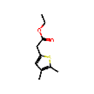 CCOC(=O)Cc1cc(C)c(C)s1